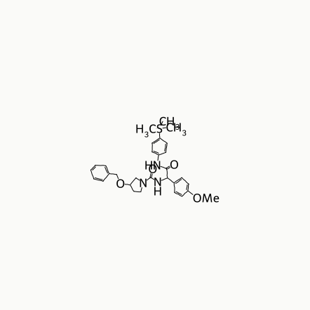 COc1ccc(C(NC(=O)N2CCC(OCc3ccccc3)C2)C(=O)Nc2ccc(S(C)(C)C)cc2)cc1